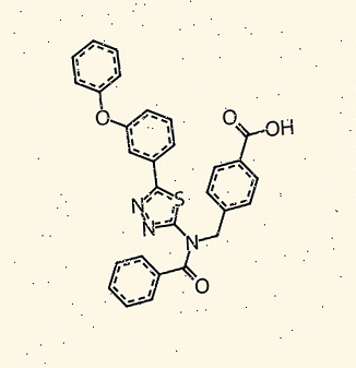 O=C(O)c1ccc(CN(C(=O)c2ccccc2)c2nnc(-c3cccc(Oc4ccccc4)c3)s2)cc1